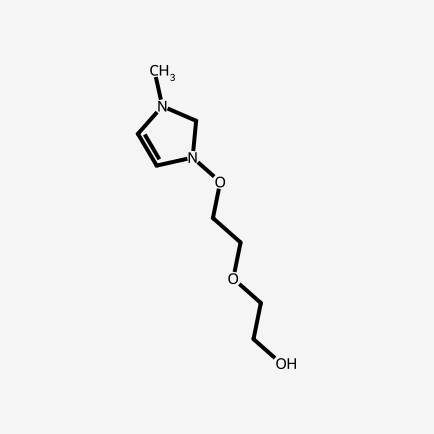 CN1C=CN(OCCOCCO)C1